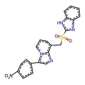 O=[N+]([O-])c1ccc(-c2cnc3c(CS(=O)(=O)c4nc5ccccc5[nH]4)cccn23)cc1